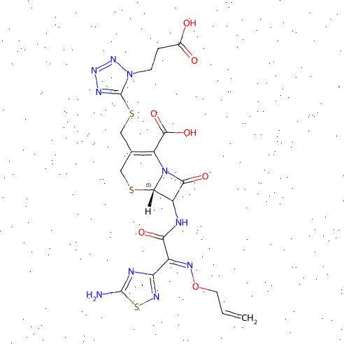 C=CCON=C(C(=O)NC1C(=O)N2C(C(=O)O)=C(CSc3nnnn3CCC(=O)O)CS[C@@H]12)c1nsc(N)n1